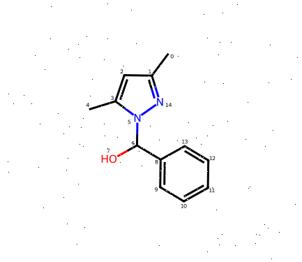 Cc1cc(C)n(C(O)c2ccccc2)n1